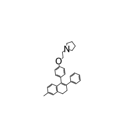 Cc1ccc2c(c1)CCC(c1ccccc1)=C2c1ccc(OCCN2CCCC2)cc1